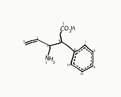 C=CC(N)C(C(=O)O)c1ccccc1